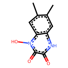 Cc1cc2[nH]c(=O)c(=O)n(O)c2cc1C